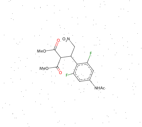 COC(=O)C(C(=O)OC)C(C[N+](=O)[O-])c1c(F)cc(NC(C)=O)cc1F